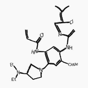 C=CC(=O)Nc1cc(NC(=C)/N=C\C(Cl)=C(C)C)c(OC)cc1N1CCC(N(CC)CC)C1